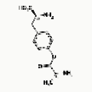 C[C@@H](N)C(=O)Oc1ccc(C[C@H](N)C(=O)O)cc1